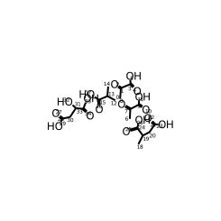 CC(=O)C(=O)O.CC(=O)C(=O)O.CC(C)C(=O)O.CC(CC(=O)O)C(=O)O.O=C(O)CC(O)C(=O)O